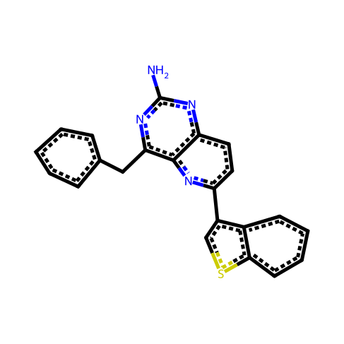 Nc1nc(Cc2ccccc2)c2nc(-c3csc4ccccc34)ccc2n1